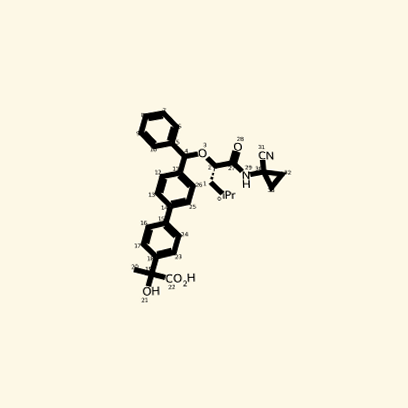 CC(C)C[C@H](OC(c1ccccc1)c1ccc(-c2ccc(C(C)(O)C(=O)O)cc2)cc1)C(=O)NC1(C#N)CC1